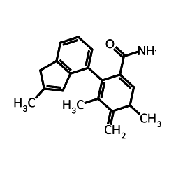 C=C1C(C)=C(c2cccc3c2C=C(C)C3)C(C([NH])=O)=CC1C